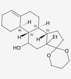 CCC12CC(O)[C@H]3[C@@H](CCC4=CCCC[C@@H]43)[C@@H]1CCC21OCCCO1